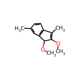 COC1=C(C)c2ccc(C)cc2C1OC